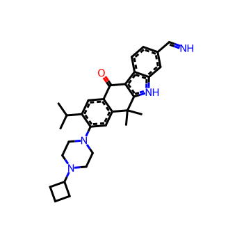 CC(C)c1cc2c(cc1N1CCN(C3CCC3)CC1)C(C)(C)c1[nH]c3cc(C=N)ccc3c1C2=O